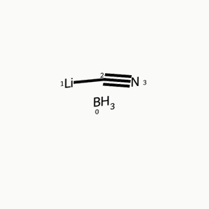 B.[Li][C]#N